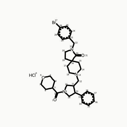 Cl.O=C(C1CCOCC1)N1CC(CN2CCC3(CC2)CCN(Cc2ccc(Br)cc2)C3=O)C(c2ccccc2)C1